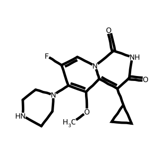 COc1c(N2CCNCC2)c(F)cn2c(=O)[nH]c(=O)c(C3CC3)c12